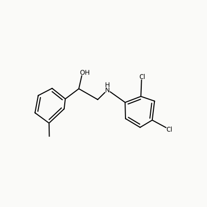 Cc1cccc(C(O)CNc2ccc(Cl)cc2Cl)c1